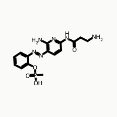 CP(=O)(O)Oc1ccccc1/N=N/c1ccc(NC(=O)CCN)nc1N